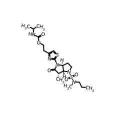 CCCN(C)S(=O)(=O)N1CC[C@H]2[C@H]1[C@H](C)C(=O)N2c1nc(CCOC(=O)NC(C)C)cs1